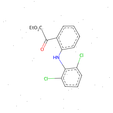 CCOC(=O)C(=O)c1ccccc1Nc1c(Cl)cccc1Cl